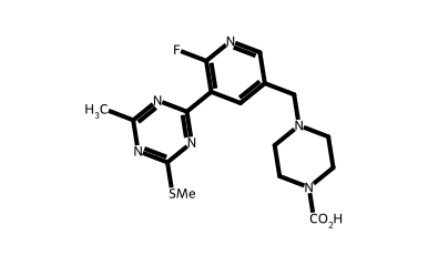 CSc1nc(C)nc(-c2cc(CN3CCN(C(=O)O)CC3)cnc2F)n1